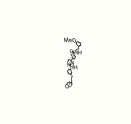 COc1cccc(CCNC(=O)c2ccc(-c3ccnc(Nc4cccc(CCCN5CCOCC5)c4)n3)s2)c1